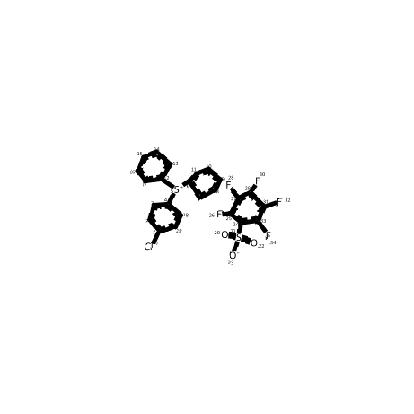 Clc1ccc([S+](c2ccccc2)c2ccccc2)cc1.O=S(=O)([O-])c1c(F)c(F)c(F)c(F)c1F